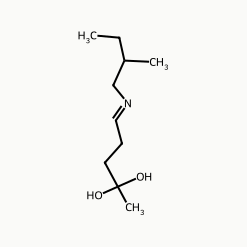 CCC(C)CN=CCCC(C)(O)O